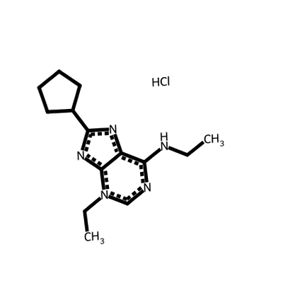 CCNc1ncn(CC)c2nc(C3CCCC3)nc1-2.Cl